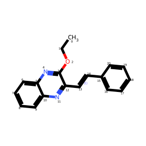 CCOc1nc2ccccc2nc1/C=C/c1ccccc1